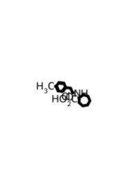 Cc1ccc(CC(=O)NC2(C(=O)O)CCCCCC2)c(Cl)c1